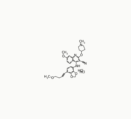 COCCC#Cc1ccc(Nc2c(C#N)c(OC3CCN(C)CC3)nc3cc(OC)ccc23)c2c1OCO2.Cl.Cl